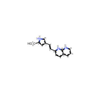 O=C(O)c1cc(C=Cc2ccc3cccnc3n2)c[nH]1